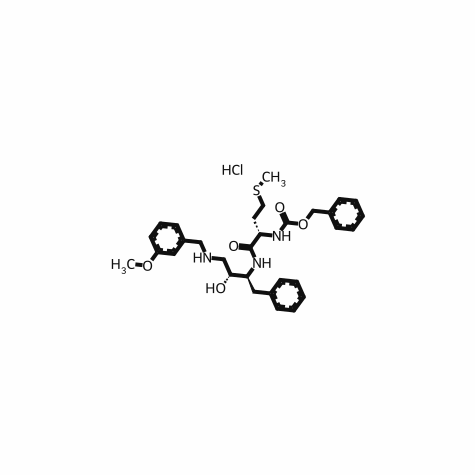 COc1cccc(CNC[C@@H](O)[C@H](Cc2ccccc2)NC(=O)[C@H](CCSC)NC(=O)OCc2ccccc2)c1.Cl